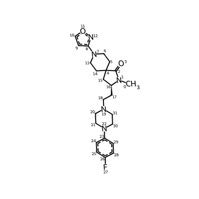 CN1C(=O)C2(CCN(c3ccon3)CC2)C[C@@H]1CCN1CCN(c2ccc(F)cc2)CC1